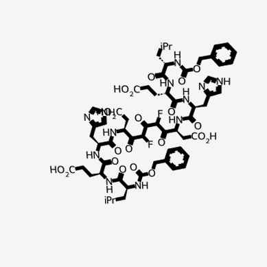 CC(C)C[C@H](NC(=O)OCc1ccccc1)C(=O)N[C@@H](CCC(=O)O)C(=O)N[C@@H](Cc1c[nH]cn1)C(=O)N[C@@H](CC(=O)O)C(=O)C(F)C(=O)C(F)C(=O)[C@H](CC(=O)O)NC(=O)[C@H](Cc1c[nH]cn1)NC(=O)[C@H](CCC(=O)O)NC(=O)[C@H](CC(C)C)NC(=O)OCc1ccccc1